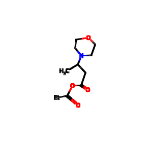 CCC(=O)OC(=O)CC(C)N1CCOCC1